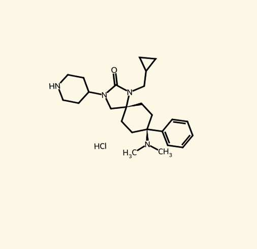 CN(C)[C@]1(c2ccccc2)CC[C@@]2(CC1)CN(C1CCNCC1)C(=O)N2CC1CC1.Cl